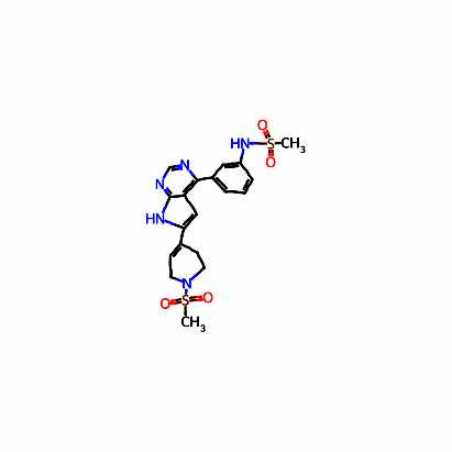 CS(=O)(=O)Nc1cccc(-c2ncnc3[nH]c(C4=CCN(S(C)(=O)=O)CC4)cc23)c1